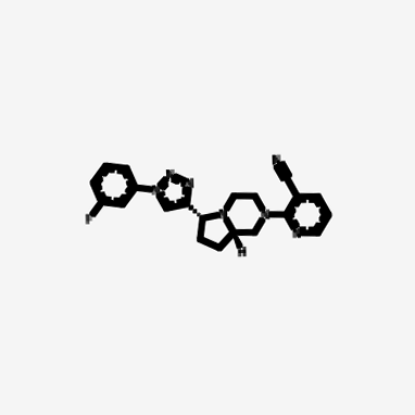 N#Cc1cccnc1N1CCN2[C@@H](CC[C@@H]2c2cn(-c3cccc(F)c3)nn2)C1